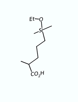 CCO[Si](C)(C)CCCC(C)C(=O)O